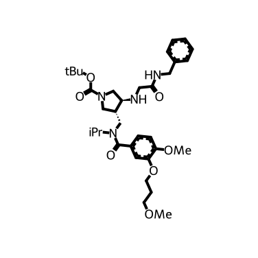 COCCCOc1cc(C(=O)N(C[C@@H]2CN(C(=O)OC(C)(C)C)C[C@H]2NCC(=O)NCc2ccccc2)C(C)C)ccc1OC